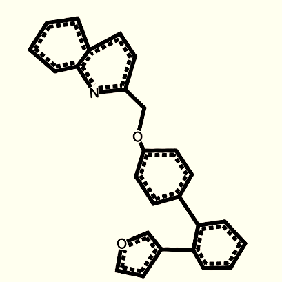 c1ccc(-c2ccoc2)c(-c2ccc(OCc3ccc4ccccc4n3)cc2)c1